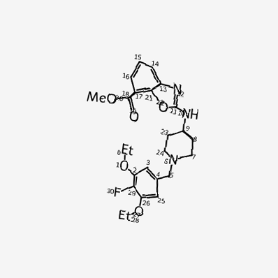 CCOc1cc(CN2CCC(Nc3nc4cccc(C(=O)OC)c4o3)CC2)cc(OCC)c1F